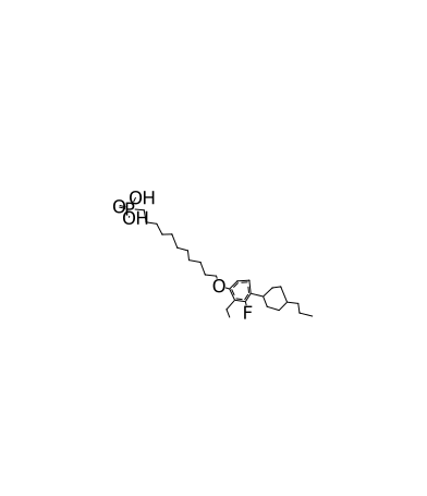 CCCC1CCC(c2ccc(OCCCCCCCCCCCP(=O)(O)O)c(CC)c2F)CC1